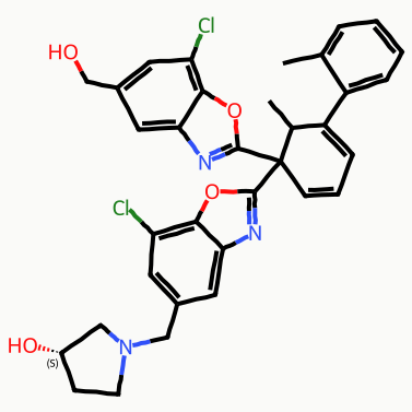 Cc1ccccc1C1=CC=CC(c2nc3cc(CO)cc(Cl)c3o2)(c2nc3cc(CN4CC[C@H](O)C4)cc(Cl)c3o2)C1C